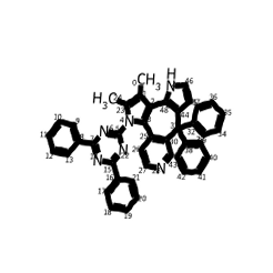 Cc1c2c(n(-c3nc(-c4ccccc4)nc(-c4ccccc4)n3)c1C)-c1ccncc1C(c1ccccc1)(c1ccccc1)c1cc[nH]c1-2